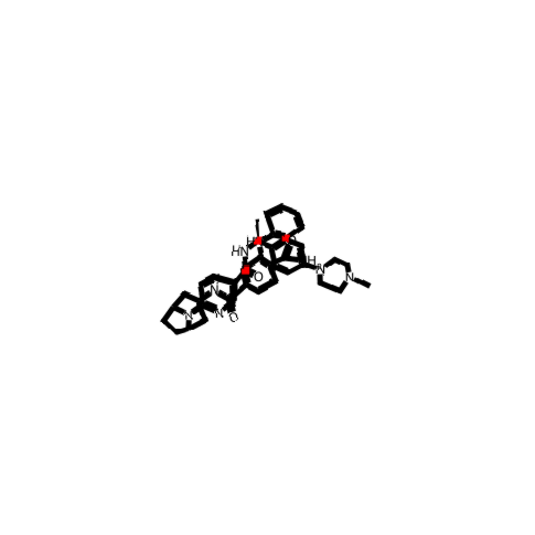 C[C@H](NC(=O)c1ccc(N2C3CCC2CC(NC(=O)c2ccc(C(N)=O)c(Nc4ccccc4)c2)C3)nc1)c1ccc(N2CCN(C)CC2)cc1